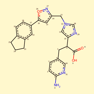 Nc1ccc(CC(C(=O)O)c2cn(Cc3cc(-c4ccc5c(c4)CCC5)on3)cn2)cn1